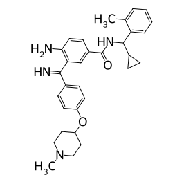 Cc1ccccc1C(NC(=O)c1ccc(N)c(C(=N)c2ccc(OC3CCN(C)CC3)cc2)c1)C1CC1